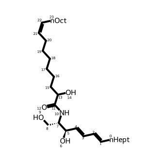 CCCCCCC/C=C/C=C/[C@@H](O)[C@H](CO)NC(=O)C(O)CCCCCC/C=C\CCCCCCCC